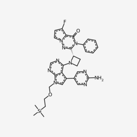 C[Si](C)(C)CCOCn1cc(-c2cnc(N)nc2)c2c(N3CC[C@H]3c3nn4ccc(F)c4c(=O)n3-c3ccccc3)ncnc21